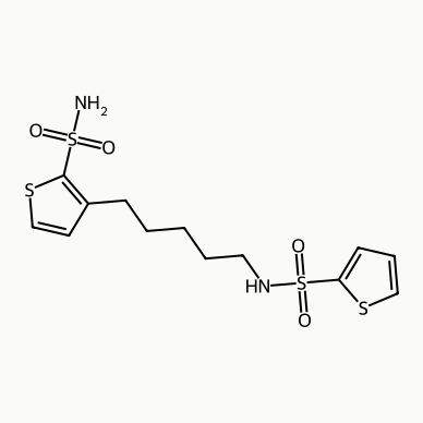 NS(=O)(=O)c1sccc1CCCCCNS(=O)(=O)c1cccs1